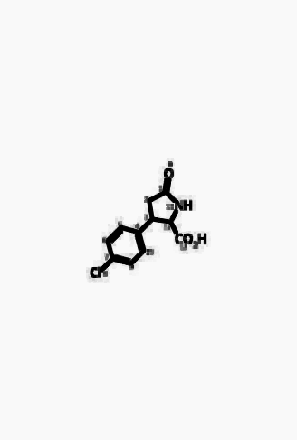 O=C1CC(c2ccc(Cl)cc2)C(C(=O)O)N1